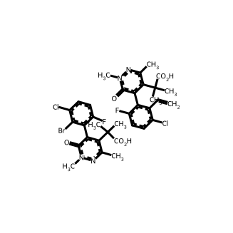 C=Cc1c(Cl)ccc(F)c1-c1c(C(C)(C)C(=O)O)c(C)nn(C)c1=O.Cc1nn(C)c(=O)c(-c2c(F)ccc(Cl)c2Br)c1C(C)(C)C(=O)O